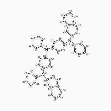 c1ccc(N(c2ccc(N(c3ccccc3)c3ccc4ccccc4c3)cc2)c2ccc(N(c3ccccc3)c3ccc4ccccc4c3)cc2)cc1